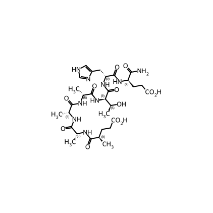 C[C@H](CCC(=O)O)C(=O)N[C@H](C)C(=O)N[C@H](C)C(=O)N[C@H](C)C(=O)N[C@@H](C(=O)N[C@H](Cc1c[nH]cn1)C(=O)N[C@H](CCC(=O)O)C(N)=O)[C@H](C)O